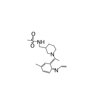 C=C/N=C1/C=CC(C)=C/C1=C(/C)N1CCCC(CNS(C)(=O)=O)C1